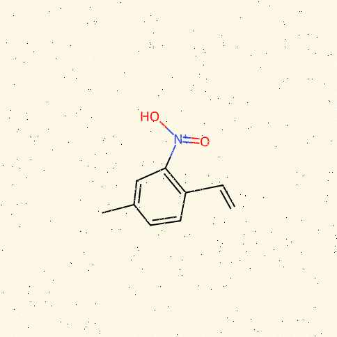 C=Cc1ccc(C)cc1[N+](=O)O